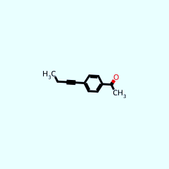 CCC#Cc1ccc(C(C)=O)cc1